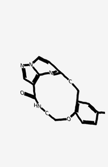 O=C1NCCOc2ccc(F)cc2CCc2ccn3ncc1c3n2